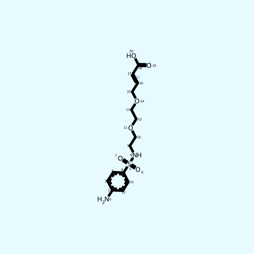 Nc1ccc(S(=O)(=O)NCCOCCOC/C=C/C(=O)O)cc1